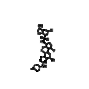 CCc1cc(-c2c(F)ccc(NS(=O)(=O)c3cc(Cl)cc4c3OCC4O)c2F)c(F)c2cnc(NC3CCN(C)CC3)nc12